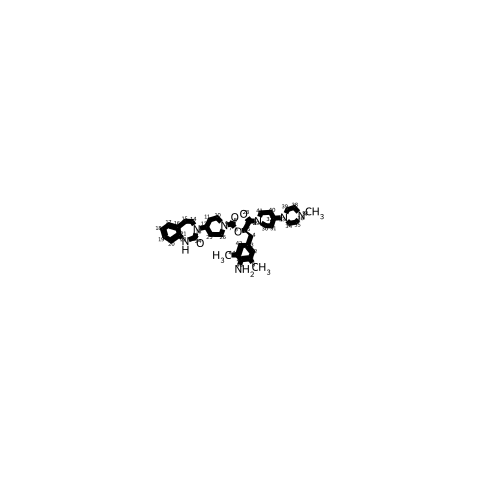 Cc1cc(C[C@@H](OC(=O)N2CCC(N3CCc4ccccc4NC3=O)CC2)C(=O)N2CCC(N3CCN(C)CC3)CC2)cc(C)c1N